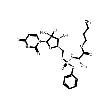 CCCCOC(=O)[C@H](C)N[P@](=O)(OC[C@H]1O[C@@H](n2ccc(=O)[nH]c2=O)[C@](C)(Cl)[C@@H]1O)Oc1ccccc1